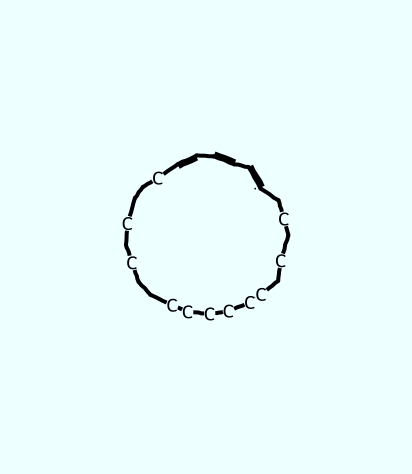 [C]1=C/C=C/C=C\CCCCCCCCCCCCCCCCCCC/1